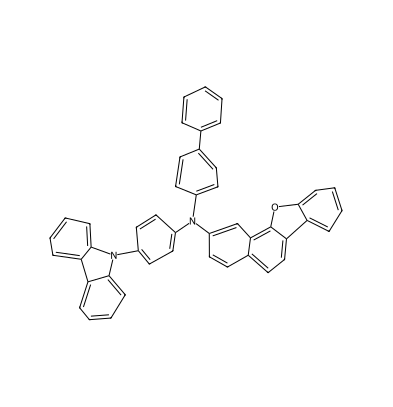 c1ccc(-c2ccc(N(c3ccc(-n4c5ccccc5c5ccccc54)cc3)c3ccc4ccc5c6ccccc6oc5c4c3)cc2)cc1